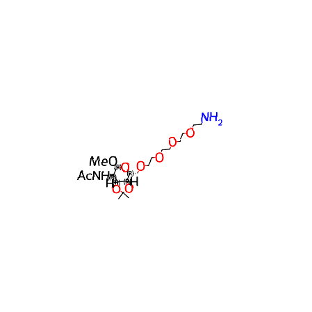 CO[C@@H]1O[C@H](COCCOCCOCCOCCN)[C@@H]2OC(C)(C)O[C@@H]2[C@H]1NC(C)=O